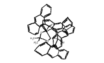 CC1(C)O[C@@H](C(O)(c2c3ccccc3cc3ccccc23)c2c3ccccc3cc3ccccc23)[C@H](C(O)(c2c3ccccc3cc3ccccc23)c2c3ccccc3cc3ccccc23)O1